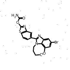 NC(=O)Oc1nc2cc(-c3nc4cc(Br)cc5c4n3CCCCO5)ccc2s1